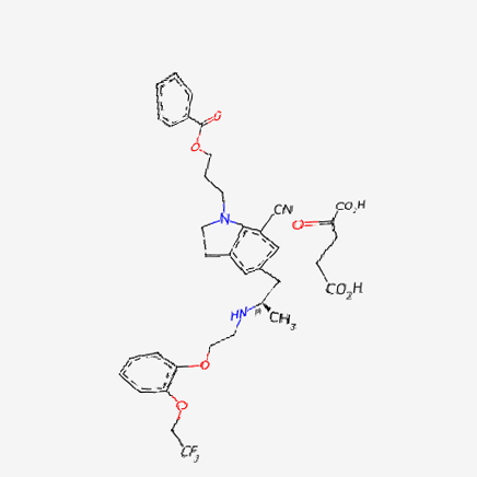 C[C@H](Cc1cc(C#N)c2c(c1)CCN2CCCOC(=O)c1ccccc1)NCCOc1ccccc1OCC(F)(F)F.O=C(O)CCC(=O)C(=O)O